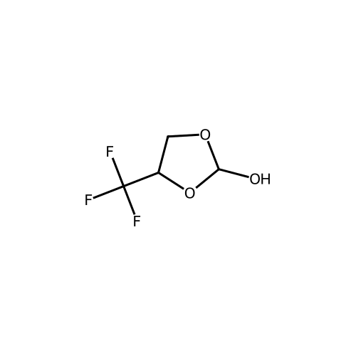 OC1OCC(C(F)(F)F)O1